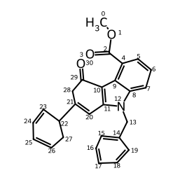 COC(=O)c1cccc2c1c1c(n2Cc2ccccc2)C=C(C2C=CC=CC2)CC1=O